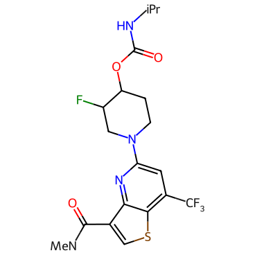 CNC(=O)c1csc2c(C(F)(F)F)cc(N3CCC(OC(=O)NC(C)C)C(F)C3)nc12